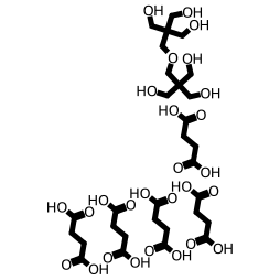 O=C(O)CCC(=O)O.O=C(O)CCC(=O)O.O=C(O)CCC(=O)O.O=C(O)CCC(=O)O.O=C(O)CCC(=O)O.OCC(CO)(CO)COCC(CO)(CO)CO